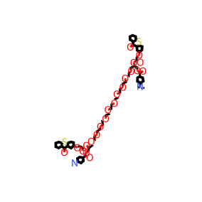 CN(C)c1ccc(C(=O)OCC(COCCOCCOCCOCCOCCOCCOCCOCCOCCOCC(COC(=O)c2ccc(N(C)C)cc2)OC(=O)COc2ccc3sc4ccccc4c(=O)c3c2)OC(=O)COc2ccc3sc4ccccc4c(=O)c3c2)cc1